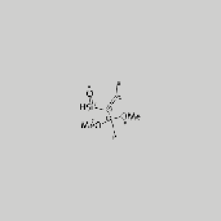 CC=C([SiH]=O)C(C)(OC)OC